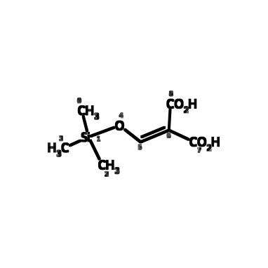 C[Si](C)(C)OC=C(C(=O)O)C(=O)O